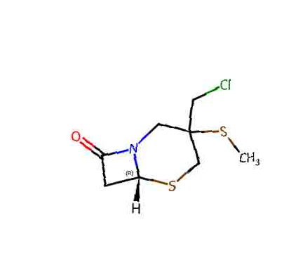 CSC1(CCl)CS[C@@H]2CC(=O)N2C1